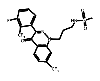 CS(=O)(=O)NCCCn1nc(-c2cccc(F)c2C(F)(F)F)c(=O)c2ccc(C(F)(F)F)cc21